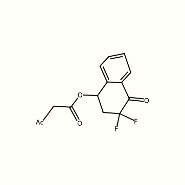 CC(=O)CC(=O)OC1CC(F)(F)C(=O)c2ccccc21